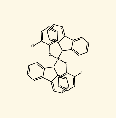 Clc1ccccc1[O][Zr]([O]c1ccccc1Cl)([CH]1c2ccccc2-c2ccccc21)[CH]1c2ccccc2-c2ccccc21